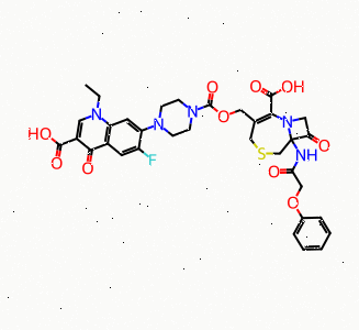 CCn1cc(C(=O)O)c(=O)c2cc(F)c(N3CCN(C(=O)OCC4=C(C(=O)O)N5CC(=O)C5(NC(=O)COc5ccccc5)CSC4)CC3)cc21